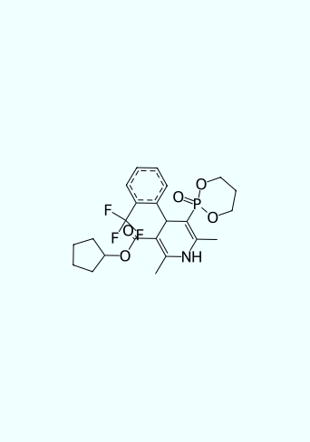 CC1=C(C(=O)OC2CCCC2)C(c2ccccc2C(F)(F)F)C(P2(=O)OCCCO2)=C(C)N1